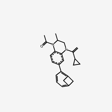 C=C(C1CC1)N1CC(C)N(C(C)=O)c2ccc(C3=C4CC(=CC=C3)C4)cc21